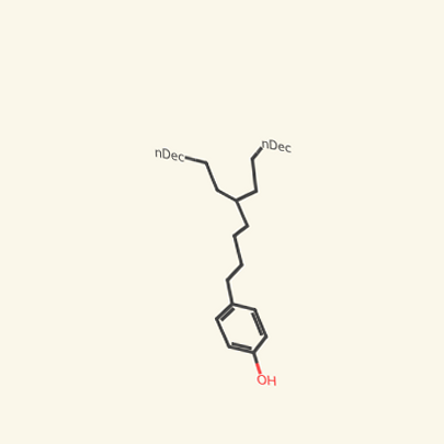 CCCCCCCCCCCCC(CCCCCCCCCCCC)CCCCc1ccc(O)cc1